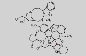 CC[C@]1(O)CC2CN(CCc3c([nH]c4ccccc34)[C@@](C)(c3cc4c(cc3C)N(C)[C@H]3[C@@](O)(C(=O)OC)[C@H](O[Si]5(CCCCC(=O)ON6C(=O)CCC6=O)CCCCC5)[C@]5(CC)C=CCN6CC[C@]43[C@@H]65)C2)C1